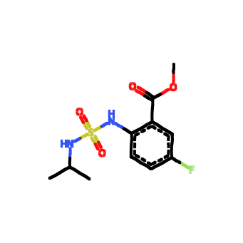 COC(=O)c1cc(F)ccc1NS(=O)(=O)NC(C)C